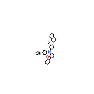 CC(C)(C)c1ccc(N(c2ccc3c(c2)C(C)(C)c2c-3ccc3ccccc23)c2cccc3c2oc2ccccc23)cc1